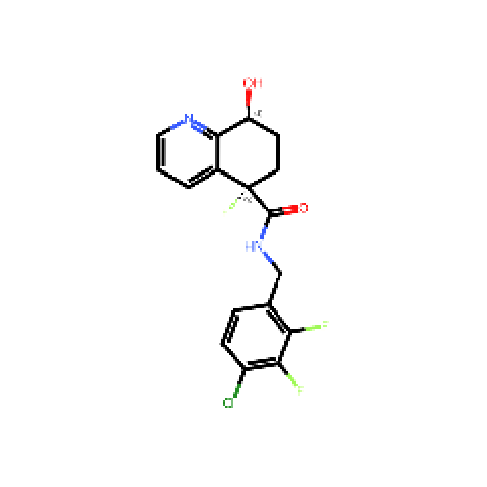 O=C(NCc1ccc(Cl)c(F)c1F)[C@]1(F)CC[C@H](O)c2ncccc21